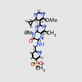 CC[C@@H](C)n1c(=O)c(NCc2ccc(S(C)(=O)=O)cn2)nc2c(C)nc(-c3c(OC)ncnc3C3CC3)nc21